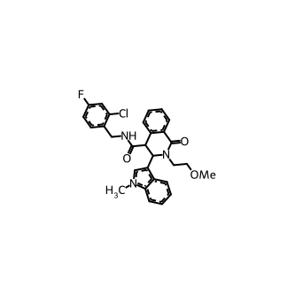 COCCN1C(=O)c2ccccc2C(C(=O)NCc2ccc(F)cc2Cl)C1c1cn(C)c2ccccc12